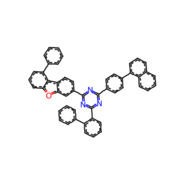 c1ccc(-c2ccccc2-c2nc(-c3ccc(-c4cccc5ccccc45)cc3)nc(-c3ccc4c(c3)oc3cccc(-c5ccccc5)c34)n2)cc1